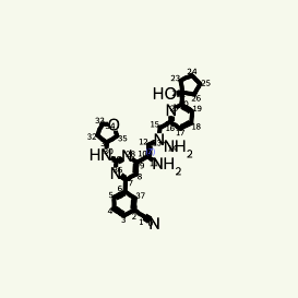 N#Cc1cccc(-c2cc(/C(N)=C/N(N)Cc3cccc(C4(O)CCCC4)n3)nc(NC3CCOC3)n2)c1